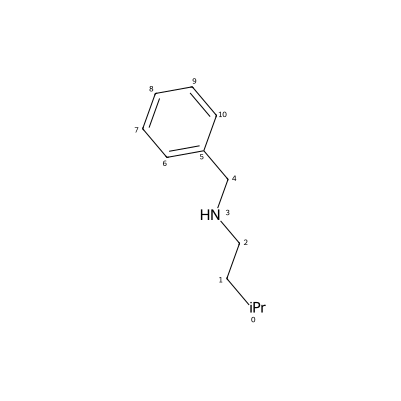 CC(C)CCNCc1ccccc1